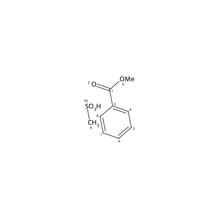 COC(=O)c1ccccc1.CS(=O)(=O)O